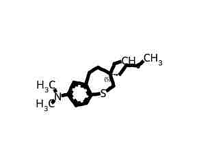 CCCC[C@@]1(CC)CCc2cc(N(C)C)ccc2SC1